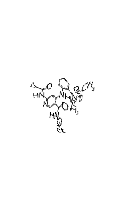 CCONC(=O)c1cnc(NC(=O)C2CC2)cc1Nc1ccccc1N(C)S(C)(=O)=O